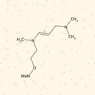 CNOCCN(C)/C=C/CN(C)C